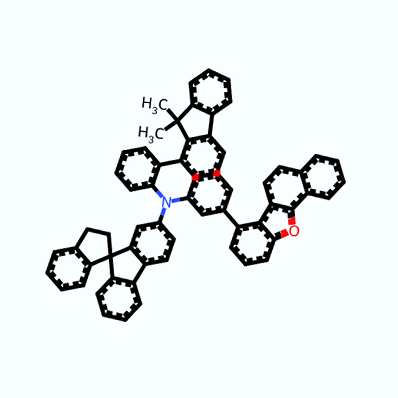 CC1(C)c2ccccc2-c2cccc(-c3ccccc3N(c3cccc(-c4cccc5oc6c7ccccc7ccc6c45)c3)c3ccc4c(c3)C3(CCc5ccccc53)c3ccccc3-4)c21